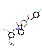 COc1ccc(CNC(=O)C2(c3ccccc3)CCN(C(=O)Cc3ccc(F)cc3)CC2)c(OC)c1